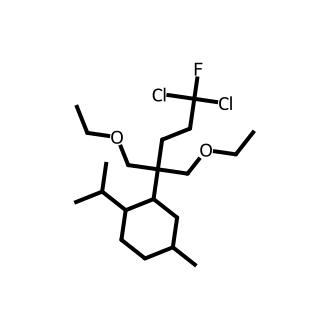 CCOCC(CCC(F)(Cl)Cl)(COCC)C1CC(C)CCC1C(C)C